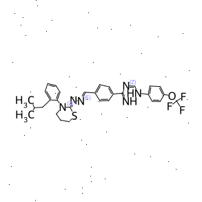 CC(C)Cc1ccccc1N1CCCS/C1=N\N=C\c1ccc(C(=N)/N=C\Nc2ccc(OC(F)(F)F)cc2)cc1